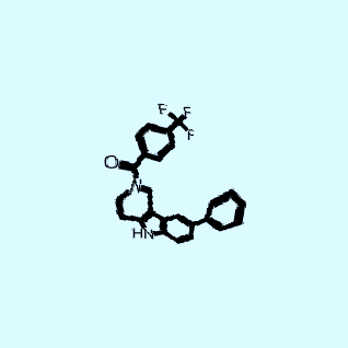 O=C(c1ccc(C(F)(F)F)cc1)N1CCc2[nH]c3ccc(-c4ccccc4)cc3c2C1